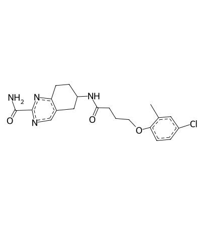 Cc1cc(Cl)ccc1OCCCC(=O)NC1CCc2nc(C(N)=O)ncc2C1